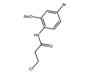 COc1cc(Br)ccc1NC(=O)CCCl